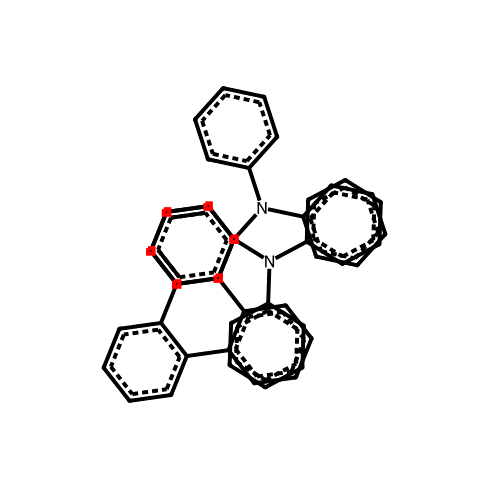 C1=CC(N(c2ccccc2)c2ccccc2)(N(c2ccccc2)c2ccccc2)CC(c2ccccc2-c2ccccc2-c2ccccc2)=C1